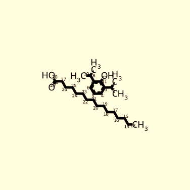 CC(C)c1cccc(C(C)C)c1O.CCCCCCCCCCCCCCCC(=O)O